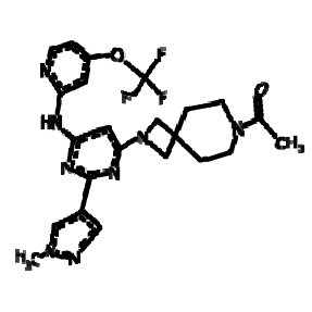 CC(=O)N1CCC2(CC1)CN(c1cc(Nc3cc(OC(F)(F)F)ccn3)nc(-c3cnn(C)c3)n1)C2